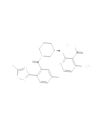 COC(=O)c1c(OC)ccnc1O[C@@H]1CC[C@@H](C)N(C(=O)c2cc(F)ccc2-c2noc(C)n2)C1